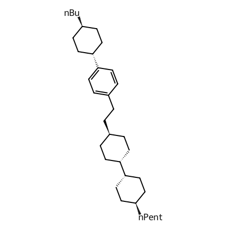 CCCCC[C@H]1CC[C@H]([C@H]2CC[C@H](CCc3ccc([C@H]4CC[C@H](CCCC)CC4)cc3)CC2)CC1